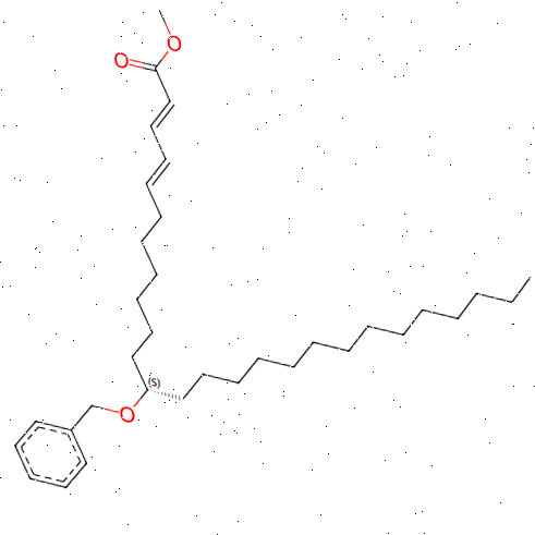 CCCCCCCCCCCCCC[C@@H](CCCCCCC=CC=CC(=O)OC)OCc1ccccc1